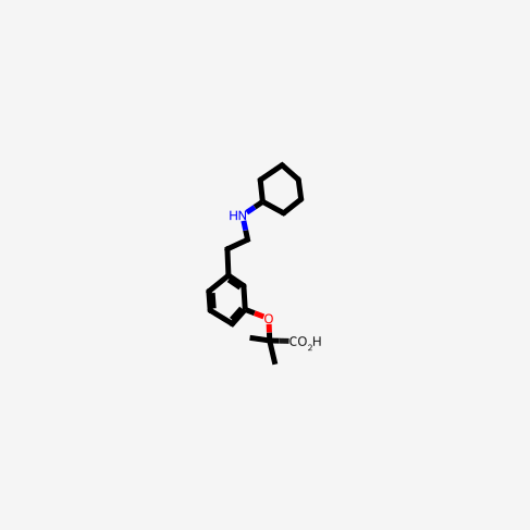 CC(C)(Oc1cccc(CCNC2CCCCC2)c1)C(=O)O